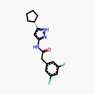 O=C(Cc1cc(F)cc(F)c1)Nc1cc([C@@H]2C[CH]CC2)[nH]n1